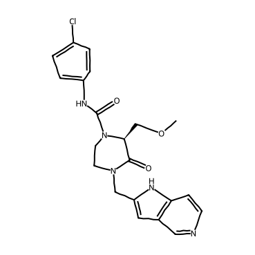 COC[C@H]1C(=O)N(Cc2cc3cnccc3[nH]2)CCN1C(=O)Nc1ccc(Cl)cc1